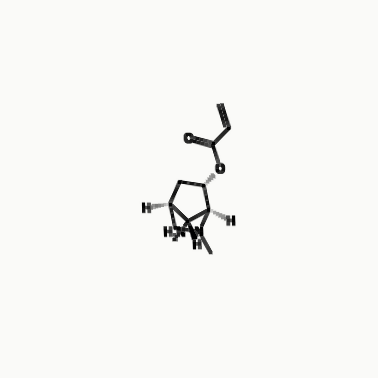 C=CC(=O)O[C@H]1C[C@@H]2CN(C)[C@H]1[C@@H]2N